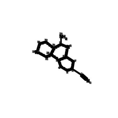 N#Cc1ccc2c(c1)nc(N)c1ccncc12